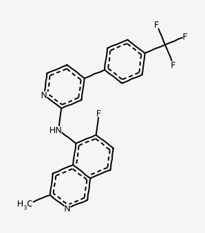 Cc1cc2c(Nc3cc(-c4ccc(C(F)(F)F)cc4)ccn3)c(F)ccc2cn1